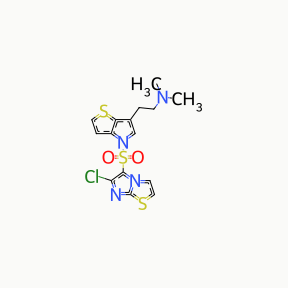 CN(C)CCc1cn(S(=O)(=O)c2c(Cl)nc3sccn23)c2ccsc12